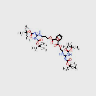 CC(C)(C)OC(=O)/N=C(/NCCCOC(=O)C1C2C=CC(O2)C1C(=O)OCCN/C(=N/C(=O)OC(C)(C)C)NC(=O)OC(C)(C)C)NC(=O)OC(C)(C)C